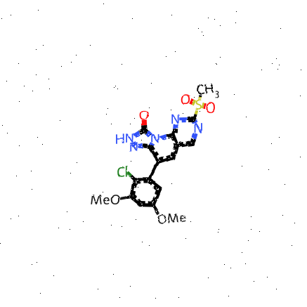 COc1cc(OC)c(Cl)c(-c2cc3cnc(S(C)(=O)=O)nc3n3c(=O)[nH]nc23)c1